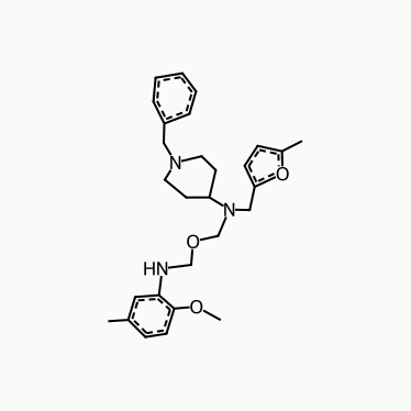 COc1ccc(C)cc1NCOCN(Cc1ccc(C)o1)C1CCN(Cc2ccccc2)CC1